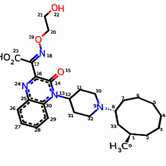 C[C@@H]1CCCCCC[C@@H](N2CCC(n3c(=O)c(/C(=N/OCCO)C(=O)O)nc4ccccc43)CC2)C1